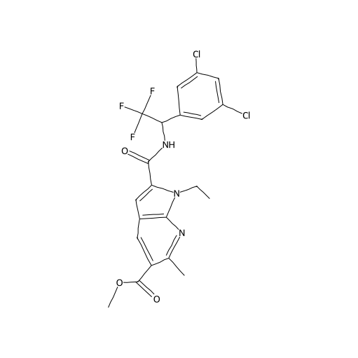 CCn1c(C(=O)NC(c2cc(Cl)cc(Cl)c2)C(F)(F)F)cc2cc(C(=O)OC)c(C)nc21